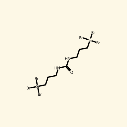 O=C(NCCC[Si](Br)(Br)Br)NCCC[Si](Br)(Br)Br